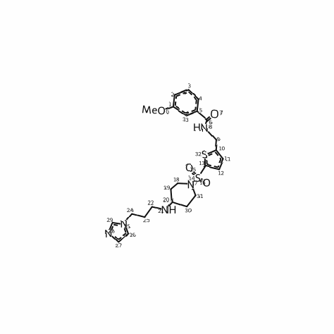 COc1cccc(C(=O)NCc2ccc(S(=O)(=O)N3CCC(NCCCn4ccnc4)CC3)s2)c1